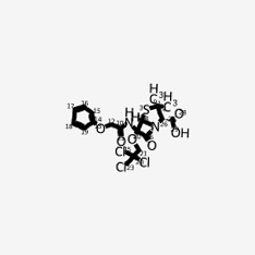 CC1(C)S[C@H]2N(C(=O)C2(NC(=O)COc2ccccc2)OCC(Cl)(Cl)Cl)[C@H]1C(=O)O